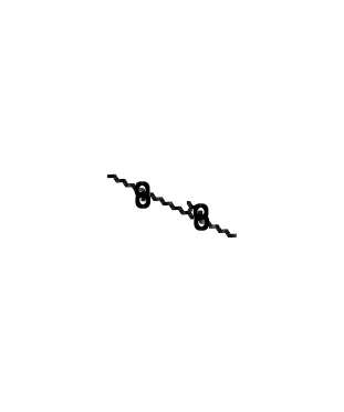 CCCCCCCOC(=O)CCCCCCCCC(CC(=O)OCCCCCCC)C(C)C